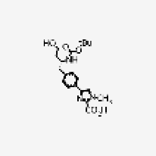 Cn1cc(-c2ccc(C[C@H](CCO)NC(=O)OC(C)(C)C)cc2)nc1C(=O)O